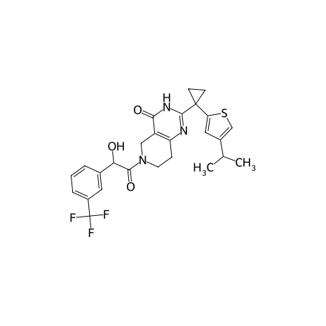 CC(C)c1csc(C2(c3nc4c(c(=O)[nH]3)CN(C(=O)C(O)c3cccc(C(F)(F)F)c3)CC4)CC2)c1